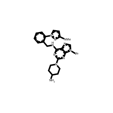 CNc1ccn(-c2ccccc2CNc2nc(N3CCC(N)CC3)nc3c2ncn3C(C)C)n1